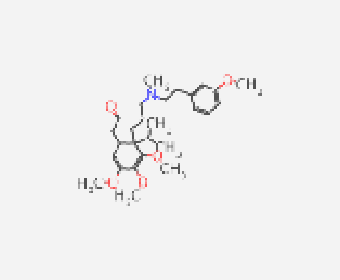 COC1=CC(CC=O)C(CCCN(C)CCc2cccc(OC)c2)(C(C)C)C(OC)=C1OC